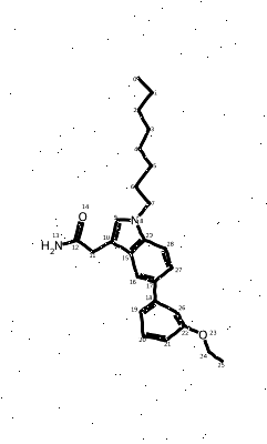 CCCCCCCCn1cc(CC(N)=O)c2cc(-c3cccc(OCC)c3)ccc21